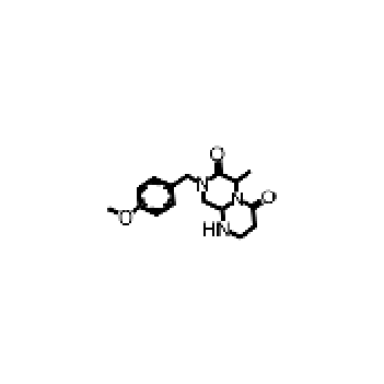 COc1ccc(CN2CC3NCCC(=O)N3C(C)C2=O)cc1